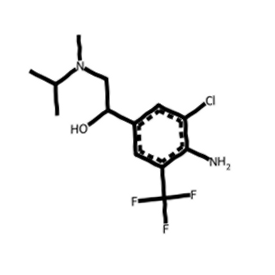 CC(C)N(C)CC(O)c1cc(Cl)c(N)c(C(F)(F)F)c1